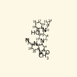 Cn1c(=O)cc(N2CCC(N(CC3CC3)c3ccccc3O)CC2)c2nc(C#N)ccc21